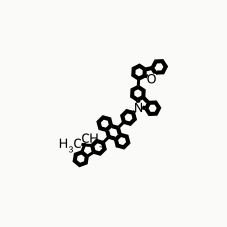 CC1(C)c2ccccc2-c2ccc(-c3c4ccccc4c(-c4ccc(-n5c6ccccc6c6cc(-c7cccc8c7oc7ccccc78)ccc65)cc4)c4ccccc34)cc21